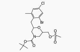 Cc1cc(Cl)cc(Br)c1CC1CN(C(=O)OC(C)(C)C)CC(COS(C)(=O)=O)O1